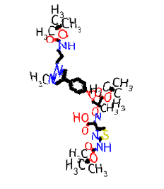 C[n+]1cc(-c2ccc(OCC(C)(ON=C(C(=O)O)c3csc(NC(=O)OC(C)(C)C)n3)C(=O)OC(C)(C)C)cc2)cn1CCCNC(=O)OC(C)(C)C